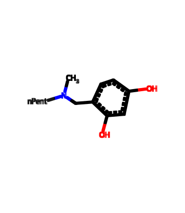 CCCCCN(C)Cc1ccc(O)cc1O